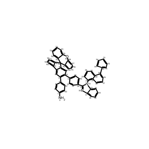 Nc1ccc(-c2cc3c(cc2-c2ccc(-c4nc5ccccc5n4-c4cccc5c(-c6ccccc6)cccc45)cc2)C2(c4ccccc4Oc4ccccc42)c2ccccc2-3)cc1